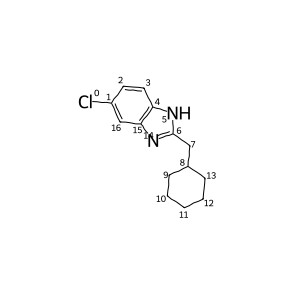 Clc1ccc2[nH]c(CC3CCCCC3)nc2c1